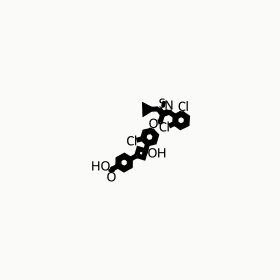 O=C(O)c1ccc(C2CC(O)(c3ccc(OCc4c(-c5c(Cl)cccc5Cl)nsc4C4CC4)cc3Cl)C2)cc1